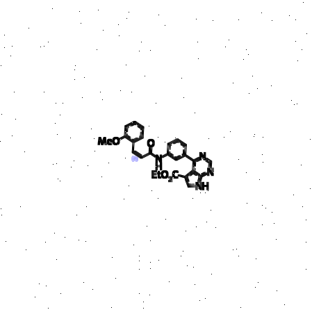 CCOC(=O)c1c[nH]c2ncnc(-c3cccc(NC(=O)/C=C\c4ccccc4OC)c3)c12